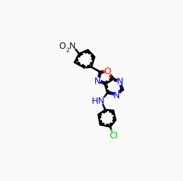 O=[N+]([O-])c1ccc(-c2nc3c(Nc4ccc(Cl)cc4)ncnc3o2)cc1